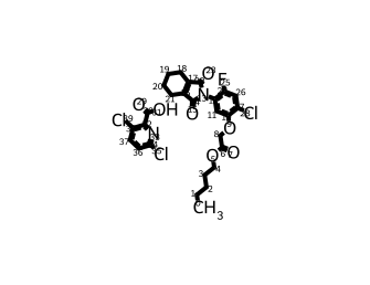 CCCCCOC(=O)COc1cc(N2C(=O)C3=C(CCCC3)C2=O)c(F)cc1Cl.O=C(O)c1nc(Cl)ccc1Cl